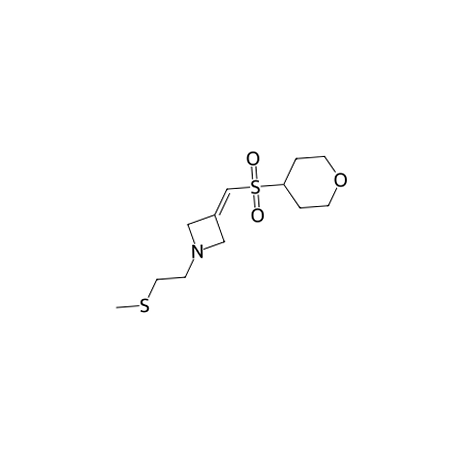 CSCCN1CC(=CS(=O)(=O)C2CCOCC2)C1